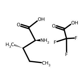 CC[C@H](C)[C@H](N)C(=O)O.O=C(O)C(F)(F)F